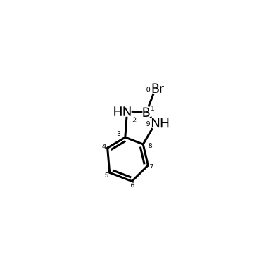 BrB1Nc2ccccc2N1